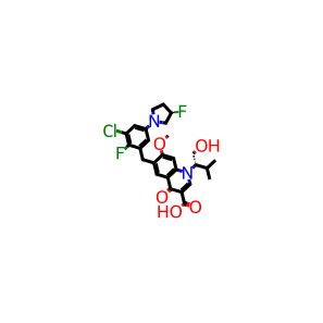 COc1cc2c(cc1Cc1cc(N3CC[C@@H](F)C3)cc(Cl)c1F)c(=O)c(C(=O)O)cn2[C@H](CO)C(C)C